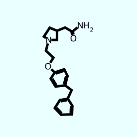 NC(=O)CC1CCN(CCOc2ccc(Cc3ccccc3)cc2)C1